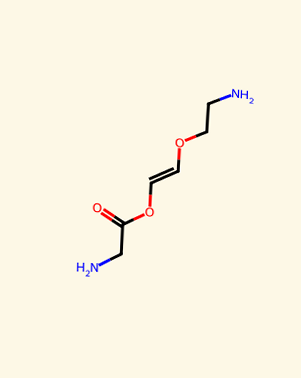 NCCOC=COC(=O)CN